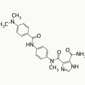 CN(C)c1ccc(C(=O)Nc2ccc(N(C)C(=O)c3nc[nH]c3C(N)=O)cc2)cc1